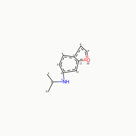 CC(C)Nc1ccc2ccoc2c1